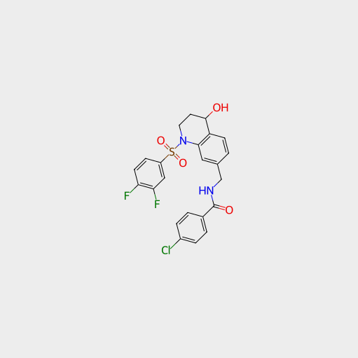 O=C(NCc1ccc2c(c1)N(S(=O)(=O)c1ccc(F)c(F)c1)CCC2O)c1ccc(Cl)cc1